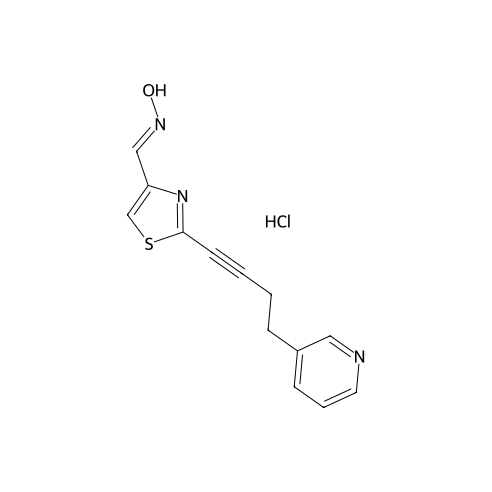 Cl.ON=Cc1csc(C#CCCc2cccnc2)n1